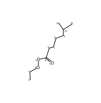 CCOOC(=O)CCCCC(C)C